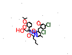 CCCCC(C(=O)N[C@@H](CC(=O)O)c1cccc(OC(C)C)c1)n1cc(C)cc(Cc2c(Cl)cc(Cl)cc2OC)c1=O